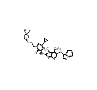 COc1c(Oc2cnn3ccccc23)cnc2nc(Nc3cc(C4CC4)cn(CCCN4CCC(F)(F)C4)c3=O)n(C)c12